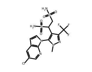 Cn1nc(C(F)(F)F)c(C(CS(N)(=O)=O)S(N)(=O)=O)c1-n1ccc2cc(Cl)cnc21